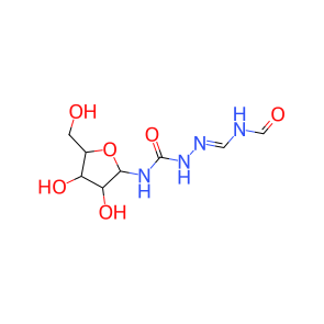 O=CNC=NNC(=O)NC1OC(CO)C(O)C1O